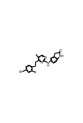 Cc1cnc(Nc2ccc3c(c2)CC(=O)N3)nc1CCc1ccc(Br)cc1F